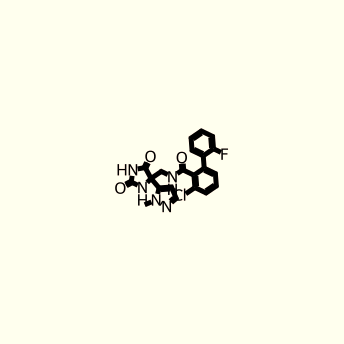 Cn1nccc1C1(CNC(=O)c2c(Cl)cccc2-c2ccccc2F)NC(=O)NC1=O